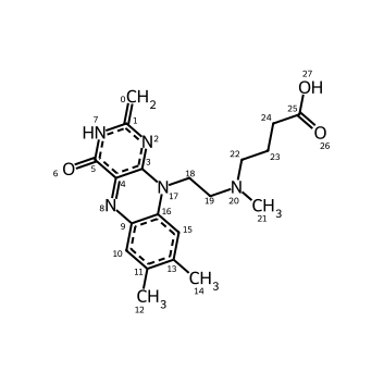 C=c1nc2c(c(=O)[nH]1)=Nc1cc(C)c(C)cc1N2CCN(C)CCCC(=O)O